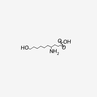 NC(CCCCCCO)CCS(=O)(=O)O